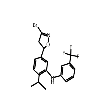 CC(C)c1ccc(C2CC(Br)=NO2)cc1Nc1cccc(C(F)(F)F)c1